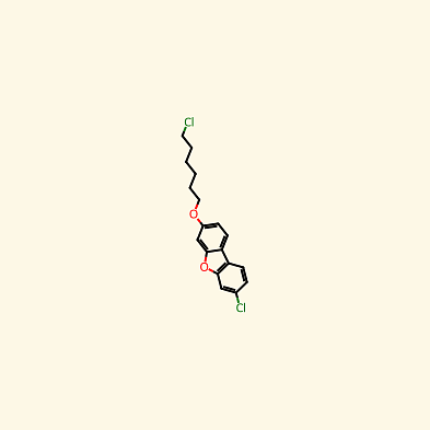 ClCCCCCCOc1ccc2c(c1)oc1cc(Cl)ccc12